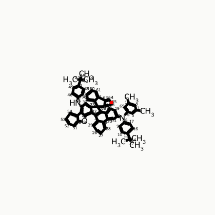 Cc1cc(C)cc(N(c2ccc(C(C)(C)C)cc2)c2ccc3c4c(c5ccccc5c3c2)-c2c(cc(Nc3ccc(C(C)(C)C)cc3)c3c2oc2ccccc23)C42c3ccccc3-c3ccccc32)c1